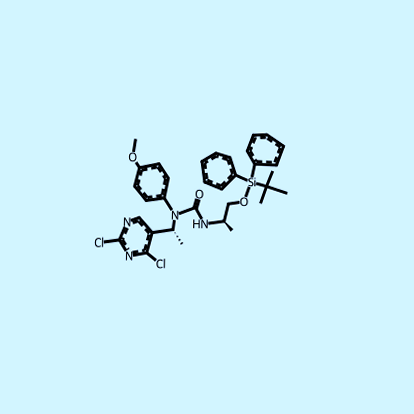 COc1ccc(N(C(=O)N[C@H](C)CO[Si](c2ccccc2)(c2ccccc2)C(C)(C)C)[C@H](C)c2cnc(Cl)nc2Cl)cc1